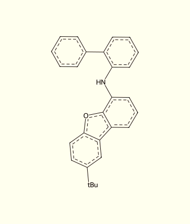 CC(C)(C)c1ccc2oc3c(Nc4ccccc4-c4ccccc4)cccc3c2c1